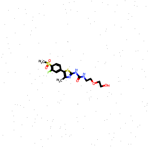 Cc1nc(NC(=O)NCCOCCO)sc1-c1ccc(S(C)(=O)=O)c(F)c1